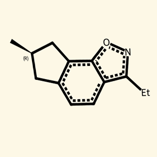 CCc1noc2c3c(ccc12)C[C@@H](C)C3